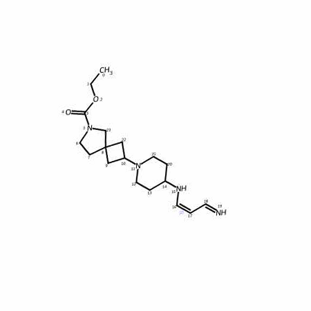 CCOC(=O)N1CCC2(CC(N3CCC(N/C=C\C=N)CC3)C2)C1